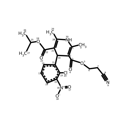 CC1=C(C(=O)OCCC#N)C(c2cccc([N+](=O)[O-])c2Cl)C(C(=O)OC(C)C)=C(C)N1